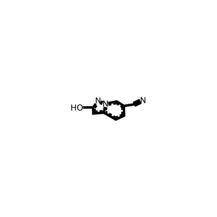 N#Cc1ccc2cc(O)nn2c1